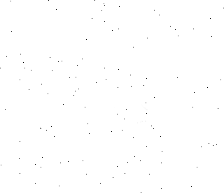 CCCCCCC1CC2C=CC=CC2C1